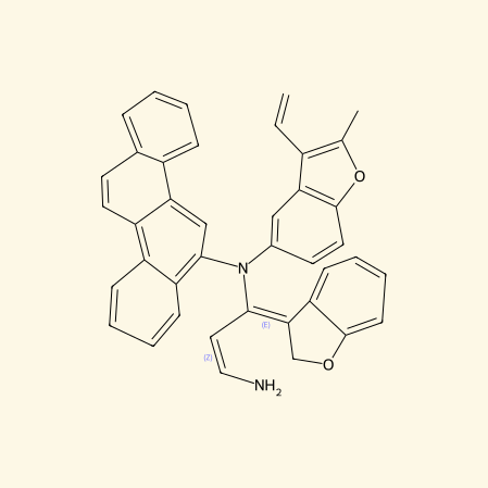 C=Cc1c(C)oc2ccc(N(C(/C=C\N)=C3/COc4ccccc43)c3cc4c5ccccc5ccc4c4ccccc34)cc12